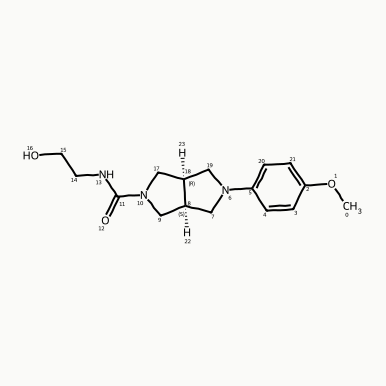 COc1ccc(N2C[C@H]3CN(C(=O)NCCO)C[C@H]3C2)cc1